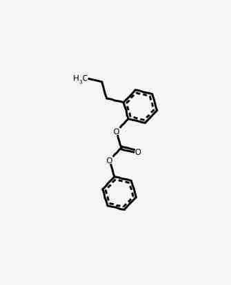 CCCc1ccccc1OC(=O)Oc1ccccc1